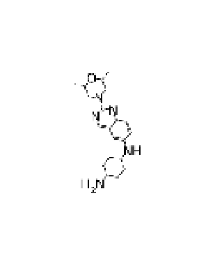 CC1CN(c2ncc3cc(NC4CCC(N)CC4)ccc3n2)CC(C)O1